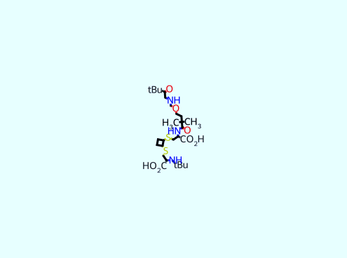 CC(C)(C)NC(CSC1CCC1SCC(NC(=O)C(C)(C)CCOCNCC(=O)C(C)(C)C)C(=O)O)C(=O)O